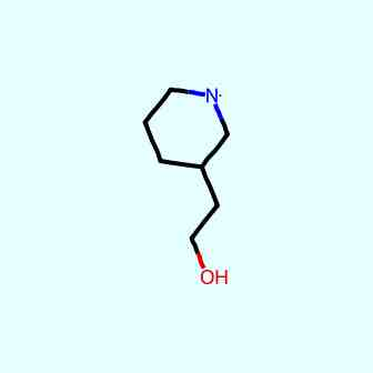 OCCC1CCC[N]C1